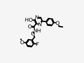 CCOc1ccc(-c2cnc(O)c(C(=O)NOCc3cc(OC)ccc3F)n2)cc1